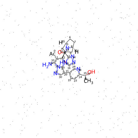 CC(=O)c1c([C@H]2C[C@H]3CC[C@@H](C2)N3C(=O)c2nnc[nH]2)nc2c(-c3ccc([C@H](C)O)nc3)cnn2c1N